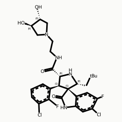 CC(C)(C)C[C@H]1N[C@@H](C(=O)NCCN2C[C@@H](O)[C@H](O)C2)[C@H](c2cccc(Cl)c2F)[C@@]12C(=O)Nc1cc(Cl)c(F)cc12